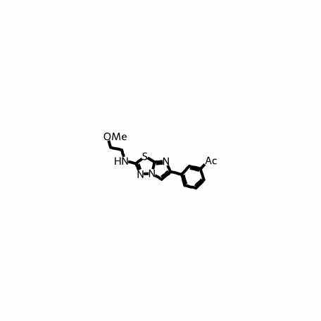 COCCNc1nn2cc(-c3cccc(C(C)=O)c3)nc2s1